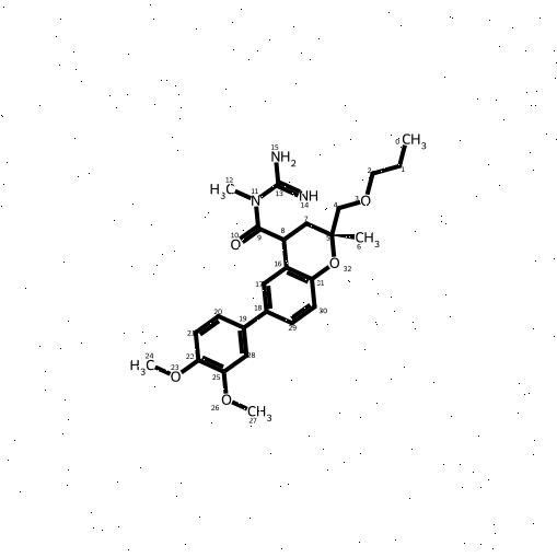 CCCOC[C@@]1(C)CC(C(=O)N(C)C(=N)N)c2cc(-c3ccc(OC)c(OC)c3)ccc2O1